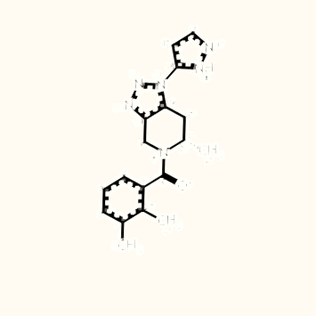 Cc1cccc(C(=O)N2Cc3nnn(-c4ccn[nH]4)c3C[C@@H]2C)c1C